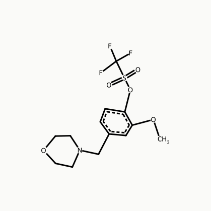 COc1cc(CN2CCOCC2)ccc1OS(=O)(=O)C(F)(F)F